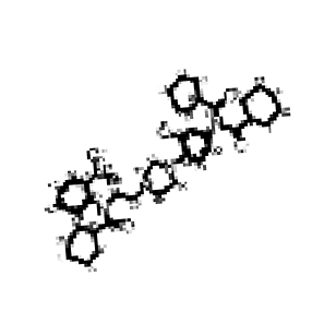 COc1cc(N(C(=O)C2CCCCC2)C(=O)C2CCCCC2)ccc1N1CCN(CCN(C(=O)C2CCCCC2)c2ccccc2[N+](=O)[O-])CC1